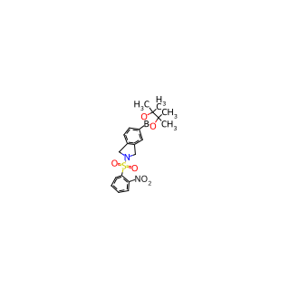 CC1(C)OB(c2ccc3c(c2)CN(S(=O)(=O)c2ccccc2[N+](=O)[O-])C3)OC1(C)C